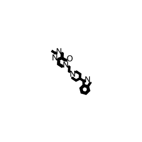 Cc1ncc2c(=O)n(CCN3CCC(C4=NCc5ccccc54)CC3)ccc2n1